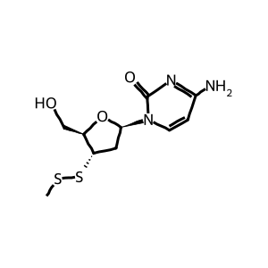 CSS[C@H]1C[C@H](n2ccc(N)nc2=O)O[C@@H]1CO